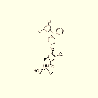 O=C(NC(C(=O)O)C1CC1)c1cc(C2CC2)c(OCC2CCN([C@@H](c3ccccc3)c3cc(Cl)cc(Cl)c3)CC2)cc1F